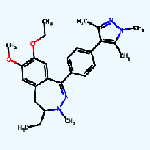 CCOc1cc2c(cc1OC)CC(CC)N(C)N=C2c1ccc(-c2c(C)nn(C)c2C)cc1